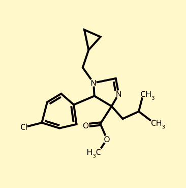 COC(=O)C1(CC(C)C)N=CN(CC2CC2)C1c1ccc(Cl)cc1